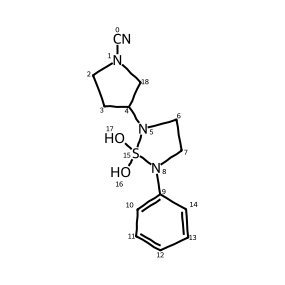 N#CN1CCC(N2CCN(c3ccccc3)S2(O)O)C1